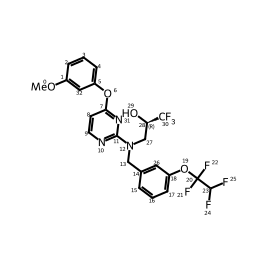 COc1cccc(Oc2ccnc(N(Cc3cccc(OC(F)(F)C(F)F)c3)C[C@@H](O)C(F)(F)F)n2)c1